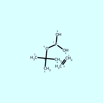 C=C.CC(C)(C)OP(O)O